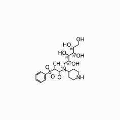 CC(C(=O)N(C[C@H](O)[C@@H](O)[C@H](O)[C@H](O)CO)C1CCNCC1)S(=O)(=O)c1ccccc1